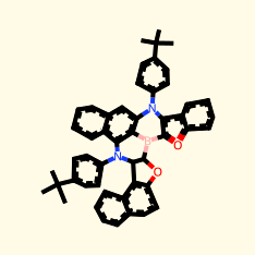 CC(C)(C)c1ccc(N2c3cc4ccccc4c4c3B(c3oc5ccccc5c32)C2Oc3ccc5ccccc5c3C2N4c2ccc(C(C)(C)C)cc2)cc1